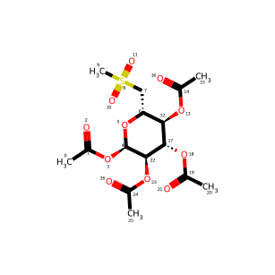 CC(=O)O[C@H]1O[C@H](CS(C)(=O)=O)[C@@H](OC(C)=O)[C@H](OC(C)=O)[C@H]1OC(C)=O